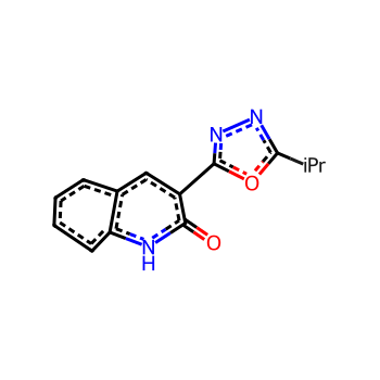 CC(C)c1nnc(-c2cc3ccccc3[nH]c2=O)o1